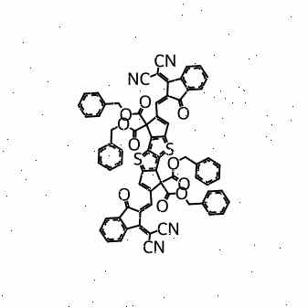 N#CC(C#N)=C1/C(=C/C2=Cc3sc4c5c(sc4c3C2(C(=O)OCc2ccccc2)C(=O)OCc2ccccc2)C=C(/C=C2\C(=O)c3ccccc3C2=C(C#N)C#N)C5(C(=O)OCc2ccccc2)C(=O)OCc2ccccc2)C(=O)c2ccccc21